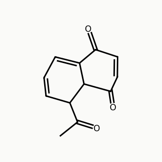 CC(=O)C1C=CC=C2C(=O)C=CC(=O)C21